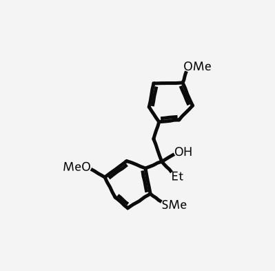 CCC(O)(Cc1ccc(OC)cc1)c1cc(OC)ccc1SC